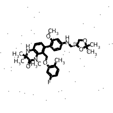 COc1cc(NC[C@H]2COC(C)(C)O2)ccc1-c1ccc2c(c1COc1cc(F)ccc1C)N(C)C(=O)C(C)(C)N2